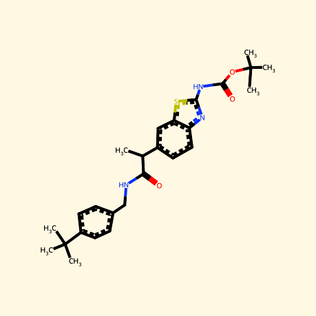 CC(C(=O)NCc1ccc(C(C)(C)C)cc1)c1ccc2nc(NC(=O)OC(C)(C)C)sc2c1